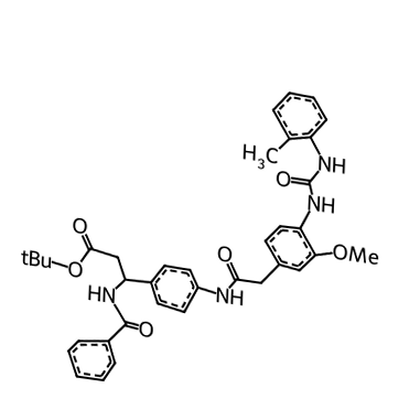 COc1cc(CC(=O)Nc2ccc(C(CC(=O)OC(C)(C)C)NC(=O)c3ccccc3)cc2)ccc1NC(=O)Nc1ccccc1C